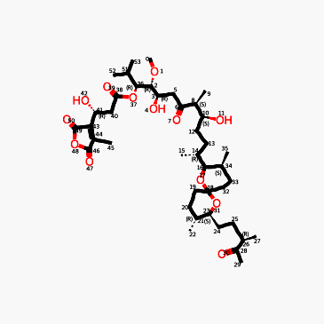 CO[C@H]([C@H](O)CC(=O)[C@@H](C)[C@@H](O)CC[C@@H](C)C1OC2(CC[C@@H](C)[C@H](CC[C@@H](C)C(C)=O)O2)CC[C@@H]1C)[C@H](OC(=O)C[C@@H](O)C1=C(C)C(=O)OC1=O)C(C)C